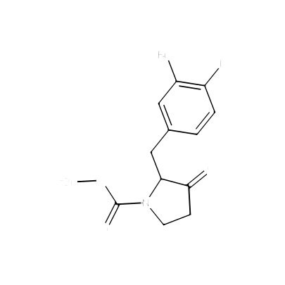 CC(C)(C)OC(=O)N1CCC(=O)C1Cc1ccc(F)c(Br)c1